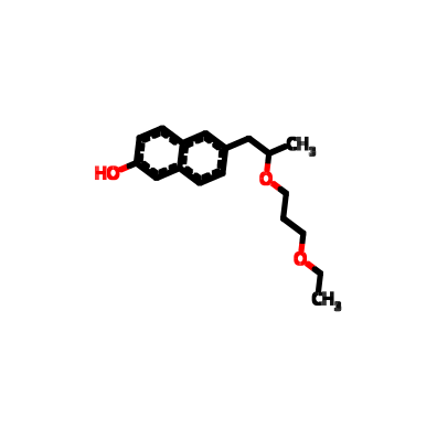 CCOCCCOC(C)Cc1ccc2cc(O)ccc2c1